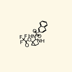 O=C(OC12CC1CNC2NS(=O)(=O)c1ccc2ccccc2c1)C(F)(F)F